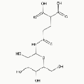 O=C(CCC(C(=O)O)C(=O)O)NC1OC(CO)C(O)C(O)C1O